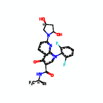 CC[C@H](NC(=O)c1cn(-c2c(F)cccc2F)c2nc(N3C[C@@H](O)CC3O)ccc2c1=O)C(F)(F)F